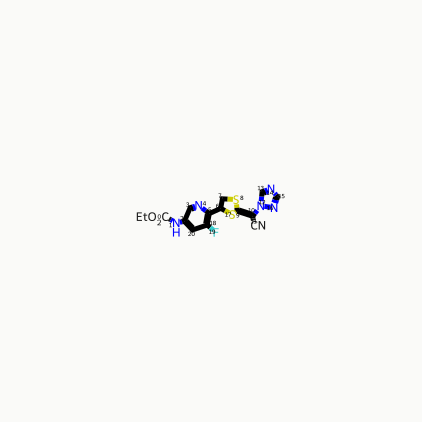 CCOC(=O)Nc1cnc(C2CSC(=C(C#N)n3cncn3)S2)c(F)c1